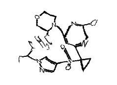 C[C@H]1COCCN1c1cc(C2(S(=O)(=O)c3cnn(C(F)F)c3)CC2)nc(Cl)n1